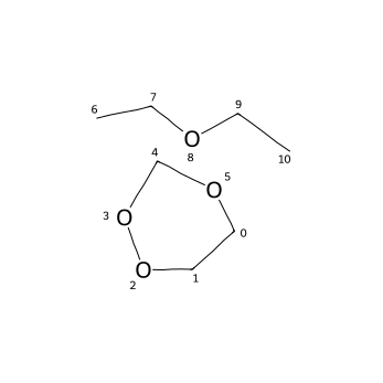 C1COOCO1.CCOCC